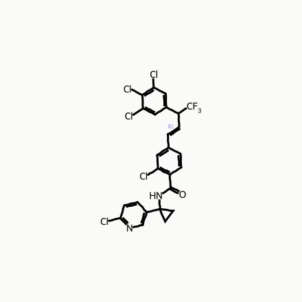 O=C(NC1(c2ccc(Cl)nc2)CC1)c1ccc(/C=C/C(c2cc(Cl)c(Cl)c(Cl)c2)C(F)(F)F)cc1Cl